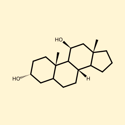 C[C@@]12CCCC1[C@@H]1CCC3C[C@H](O)CC[C@]3(C)C1[C@@H](O)C2